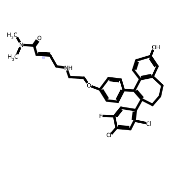 CN(C)C(=O)/C=C/CNCCOc1ccc(C2=C(c3cc(F)c(Cl)cc3Cl)CCCc3cc(O)ccc32)cc1